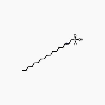 CCCCCCCCCCCCCC/C=C/CS(=O)(=O)O